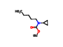 CC(C)(C)OC(=O)N(CCCCC(=O)O)C1CC1